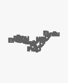 CCCCC(CC)COCC(O)COCCOC(C)(C#CC(C)(CC(C)C)OCCOCC(O)COCC(CC)CCCC)CC(C)C